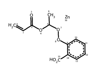 C=CC(=O)OC(C)OOc1ccccc1C(=O)O.[Zn]